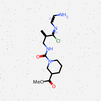 C=C(CNC(=O)N1CCCC(C(=O)OC)C1)/C(Cl)=N\C=C/N